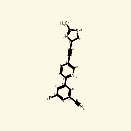 CC1=NC(C#Cc2ccc(-c3cc(F)cc(C#N)c3)nc2)CS1